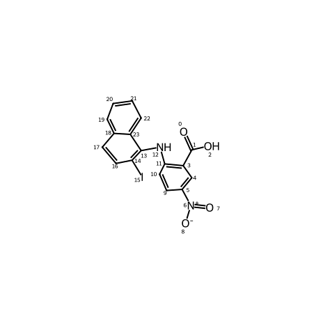 O=C(O)c1cc([N+](=O)[O-])ccc1Nc1c(I)ccc2ccccc12